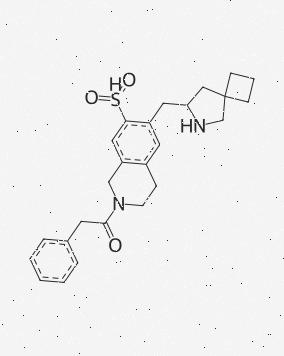 O=C(Cc1ccccc1)N1CCc2cc(CC3CC4(CCC4)CN3)c([SH](=O)=O)cc2C1